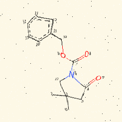 CC1(C)CC(=O)N(C(=O)OCc2ccccc2)C1